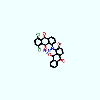 NN(c1cccc2c1C(=O)c1c(Cl)ccc(Cl)c1C2=O)c1c(Br)ccc2c1C(=O)c1ccccc1C2=O